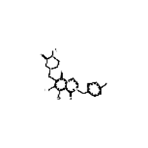 CN1CCN(Cc2c(O)c(O)c3c(=O)n(Cc4ccc(F)cc4)ccn3c2=O)CC1=O